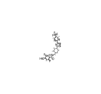 O=C(NCC1CCC(c2nc(-c3ncc(C(F)(F)F)cn3)no2)CC1)c1cc(F)c(O)cc1F